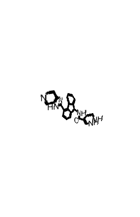 O=C(NC1c2ccccc2-c2c(-c3nc4ccncc4[nH]3)cccc21)C1=CNNC=C1